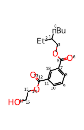 CCCCC(CC)COC(=O)c1cccc(C(=O)OCCO)c1